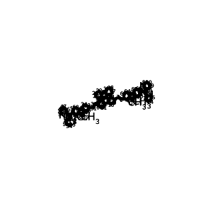 CC1(C)C2=CC(/C=C/c3ccc4c(c3)C3(c5ccccc5-c5ccccc53)c3cc(/C=C/c5ccc6c(c5)C(C)(C)c5cc(N(c7ccccn7)c7ccccn7)ccc5-6)ccc3-4)CC=C2c2ccc(N(c3ccccn3)c3ccccn3)cc21